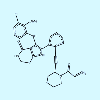 C=CC(=O)N1CCCC[C@H]1C#Cc1cnccc1-c1[nH]c2c(c1Nc1cccc(Cl)c1OC)C(=O)NCC2